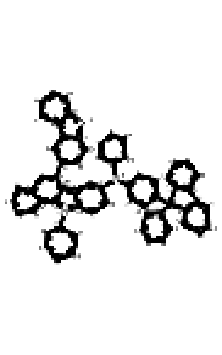 c1ccc(N(c2ccc(C3(c4ccccc4)c4ccccc4-c4ccccc43)cc2)c2ccc3c(c2)c2c(-c4ccc5sc6ccccc6c5c4)cc4ccccc4c2n3-c2ccccc2)cc1